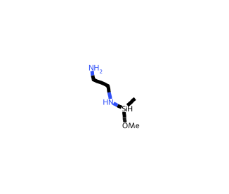 CO[SiH](C)NCCN